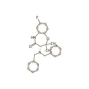 CC1(C)Oc2ccc(F)cc2NC(=O)[C@H]1N(Cc1ccccc1)Cc1ccccc1